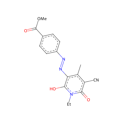 CCn1c(O)c(N=Nc2ccc(C(=O)OC)cc2)c(C)c(C#N)c1=O